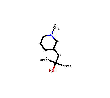 CCCCCC(O)(CCCCC)CC1CCCN(C)C1